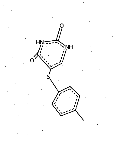 Cc1ccc(Sc2c[nH]c(=O)[nH]c2=O)cc1